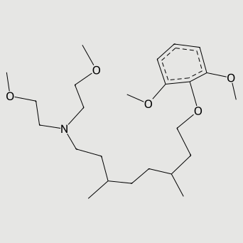 COCCN(CCOC)CCC(C)CCC(C)CCOc1c(OC)cccc1OC